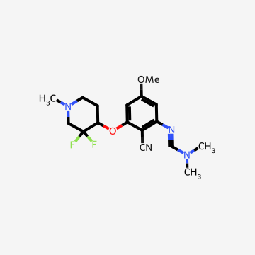 COc1cc(N=CN(C)C)c(C#N)c(OC2CCN(C)CC2(F)F)c1